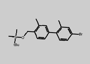 Cc1cc(-c2ccc(Br)cc2C)ccc1CO[Si](C)(C)C(C)(C)C